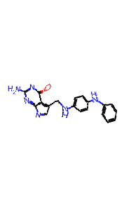 NC1=NC(=O)C2=C(CNc3ccc(Nc4ccccc4)cc3)C=NC2=N1